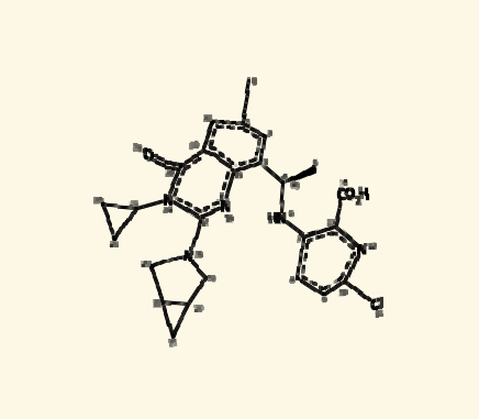 Cc1cc([C@@H](C)Nc2ccc(Cl)nc2C(=O)O)c2nc(N3CC4CC4C3)n(C3CC3)c(=O)c2c1